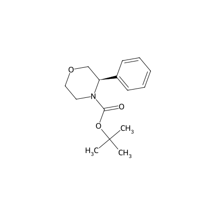 CC(C)(C)OC(=O)N1CCOC[C@H]1c1ccccc1